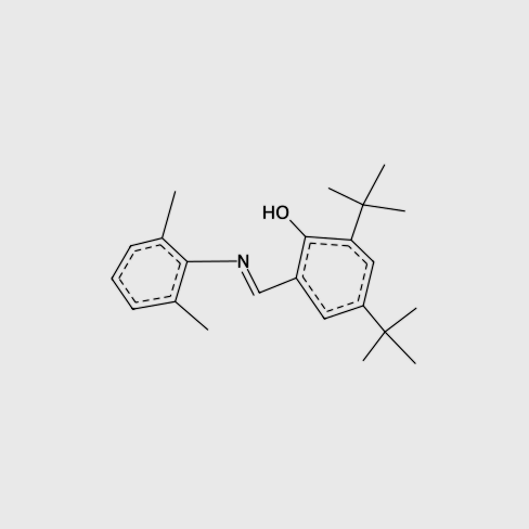 Cc1cccc(C)c1/N=C/c1cc(C(C)(C)C)cc(C(C)(C)C)c1O